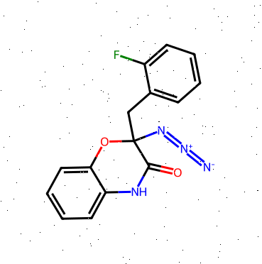 [N-]=[N+]=NC1(Cc2ccccc2F)Oc2ccccc2NC1=O